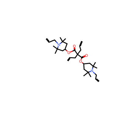 C=CCN1C(C)(C)CC(OC(=O)C(CC=C)(CC=C)C(=O)OC2CC(C)(C)N(CC=C)C(C)(C)C2)CC1(C)C